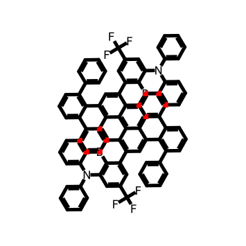 FC(F)(F)c1cc2c3c(c1)N(c1ccccc1)c1ccccc1B3c1cc3c(-c4c(-c5ccccc5)cccc4-c4ccccc4)cc4c5c(cc6c(-c7c(-c8ccccc8)cccc7-c7ccccc7)cc-2c1c6c35)B1c2ccccc2N(c2ccccc2)c2cc(C(F)(F)F)cc-4c21